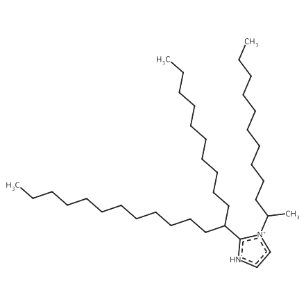 CCCCCCCCCCCCC(CCCCCCCCCC)c1[nH]cc[n+]1C(C)CCCCCCCCCC